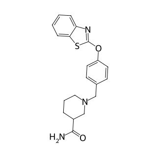 NC(=O)C1CCCN(Cc2ccc(Oc3nc4ccccc4s3)cc2)C1